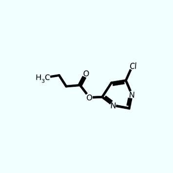 CCCC(=O)Oc1cc(Cl)ncn1